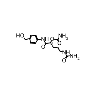 NC(=O)NCCC[C@H](OC(N)=O)C(=O)Nc1ccc(CO)cc1